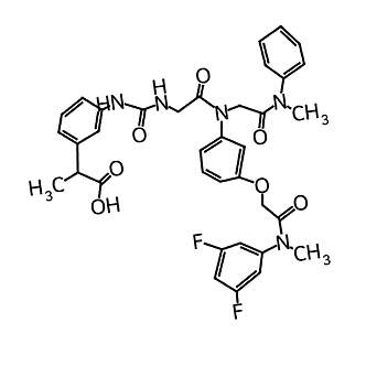 CC(C(=O)O)c1cccc(NC(=O)NCC(=O)N(CC(=O)N(C)c2ccccc2)c2cccc(OCC(=O)N(C)c3cc(F)cc(F)c3)c2)c1